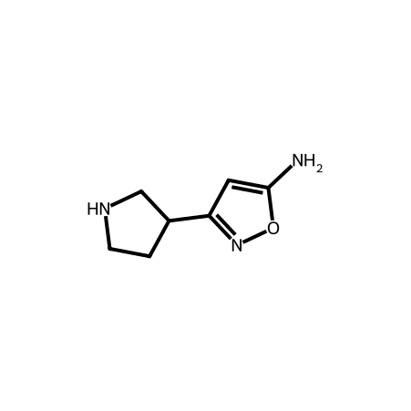 Nc1cc(C2CCNC2)no1